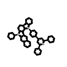 c1ccc(-c2cc(-c3ccc(-n4c5ccccc5c5ccc6c(c7cc8ccccc8cc7n6-c6ccccc6)c54)cc3)cc(-c3ccccc3)n2)cc1